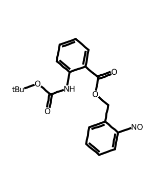 CC(C)(C)OC(=O)Nc1ccccc1C(=O)OCc1ccccc1N=O